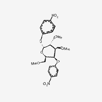 COC[C@H]1O[C@H](Oc2ccc([N+](=O)[O-])cc2)[C@H](OC)[C@@H](OC)[C@H]1Oc1ccc([N+](=O)[O-])cc1